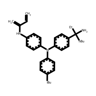 C=CC(=C)Nc1ccc(N(c2ccc(C(C)CC)cc2)c2ccc(C(N)(CC)CCCC)cc2)cc1